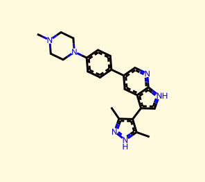 Cc1n[nH]c(C)c1-c1c[nH]c2ncc(-c3ccc(N4CCN(C)CC4)cc3)cc12